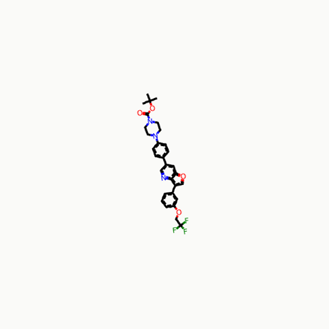 CC(C)(C)OC(=O)N1CCN(c2ccc(-c3cnc4c(-c5cccc(OCC(F)(F)F)c5)coc4c3)cc2)CC1